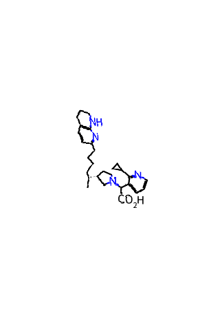 CC(CCCCc1ccc2c(n1)NCCC2)[C@@H]1CCN(C(C(=O)O)c2cccnc2C2CC2)C1